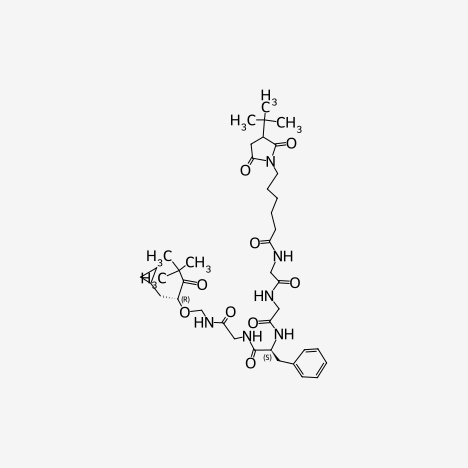 CC(C)(C)C(=O)[C@@H](CC1CC1)OCNC(=O)CNC(=O)[C@H](Cc1ccccc1)NC(=O)CNC(=O)CNC(=O)CCCCCN1C(=O)CC(C(C)(C)C)C1=O